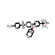 CC(C)(O)c1cnc(N2CCN(S(=O)(=O)c3ccc(N)nc3)C[C@@H]2CN2C3COCC2CC(=O)C3)nc1